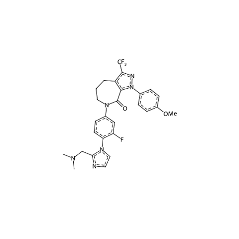 COc1ccc(-n2nc(C(F)(F)F)c3c2C(=O)N(c2ccc(-n4ccnc4CN(C)C)c(F)c2)CCC3)cc1